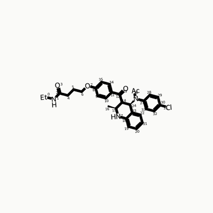 CCNC(=O)CCCOc1ccc(C(=O)C2[C@H](C)Nc3ccccc3[C@@H]2N(C(C)=O)c2ccc(Cl)cc2)cc1